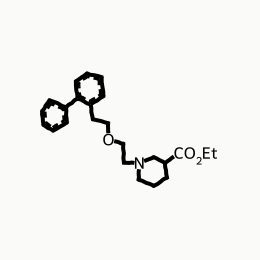 CCOC(=O)C1CCCN(CCOCCc2ccccc2-c2ccccc2)C1